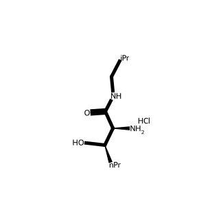 CCC[C@@H](O)[C@H](N)C(=O)NCC(C)C.Cl